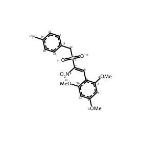 COc1cc(OC)c(C=C([N+](=O)[O-])S(=O)(=O)Cc2ccc(F)cc2)c(OC)c1